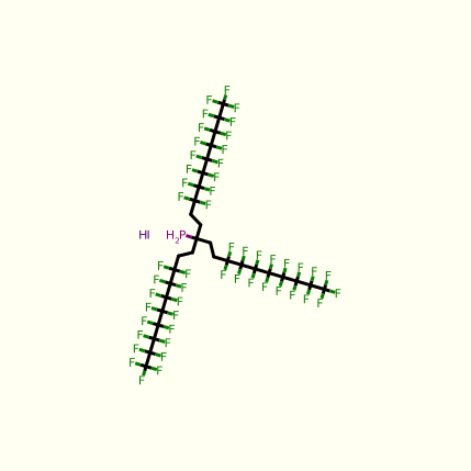 FC(F)(F)C(F)(F)C(F)(F)C(F)(F)C(F)(F)C(F)(F)C(F)(F)C(F)(F)CCC(P)(CCC(F)(F)C(F)(F)C(F)(F)C(F)(F)C(F)(F)C(F)(F)C(F)(F)C(F)(F)F)CCC(F)(F)C(F)(F)C(F)(F)C(F)(F)C(F)(F)C(F)(F)C(F)(F)C(F)(F)F.I